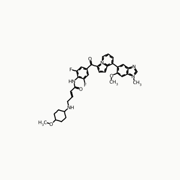 COc1cc2c(cc1-c1cccn3c(C(=O)c4cc(F)c(NC(=O)/C=C/CNC5CCC(OC)CC5)c(F)c4)ccc13)ncn2C